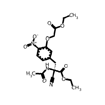 CCOC(=O)COc1cc(C[C@](C#N)(NC(C)=O)C(=O)OCC)ccc1[N+](=O)[O-]